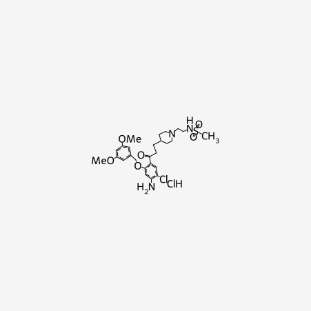 COc1cc(COc2cc(N)c(Cl)cc2C(=O)CCC2CCN(CCNS(C)(=O)=O)CC2)cc(OC)c1.Cl